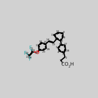 O=C(O)CCc1ccc(-c2ccccc2C=Cc2ccc(OC(F)=C(F)F)cc2)cc1